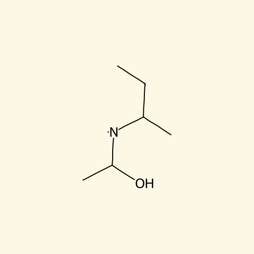 CCC(C)[N]C(C)O